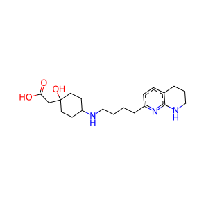 O=C(O)CC1(O)CCC(NCCCCc2ccc3c(n2)NCCC3)CC1